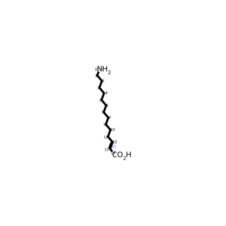 NCCCCCCCCCCC/C=C/C(=O)O